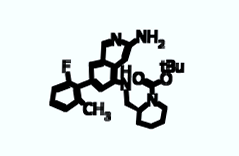 Cc1cccc(F)c1-c1cc(NC[C@@H]2CCCCN2C(=O)OC(C)(C)C)c2cc(N)ncc2c1